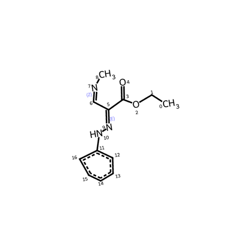 CCOC(=O)C(/C=N\C)=N/Nc1ccccc1